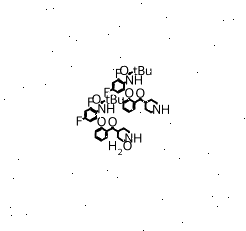 CC(C)(C)C(=O)Nc1c(F)cc(F)cc1Oc1ccccc1C(=O)C1CCNCC1.CC(C)(C)C(=O)Nc1c(F)cc(F)cc1Oc1ccccc1C(=O)C1CCNCC1.O